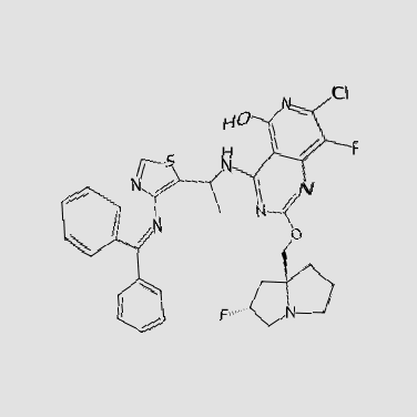 CC(Nc1nc(OC[C@@]23CCCN2C[C@H](F)C3)nc2c(F)c(Cl)nc(O)c12)c1scnc1N=C(c1ccccc1)c1ccccc1